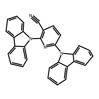 N#Cc1ccc(-n2c3ccccc3c3ccccc32)nc1-n1c2ccccc2c2ccccc21